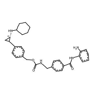 Nc1ccccc1NC(=O)c1ccc(CNC(=O)OCc2ccc(C3C[C@@H]3NC3CCCCC3)cc2)cc1